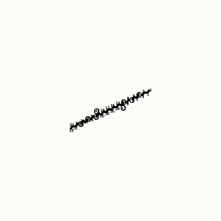 CCCCOCCOCCOC(=O)CCCCCCCCC(=O)OCCOCCOCCCC